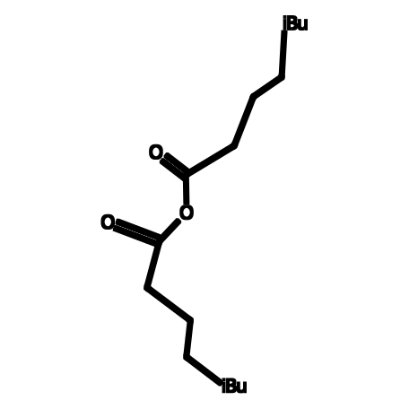 CCC(C)CCCC(=O)OC(=O)CCCC(C)CC